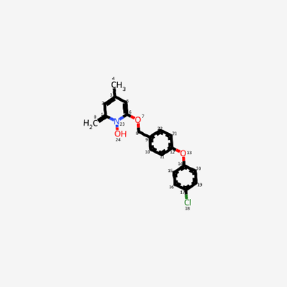 C=C1C=C(C)C=C(OCc2ccc(Oc3ccc(Cl)cc3)cc2)N1O